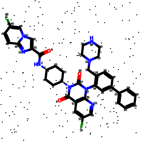 O=C(N[C@H]1CC[C@@H](n2c(=O)c3cc(F)cnc3n(-c3cc(-c4ccccc4)ccc3CN3CCNCC3)c2=O)CC1)c1cn2cc(F)ccc2n1